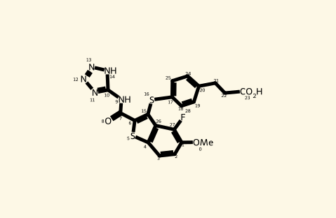 COc1ccc2sc(C(=O)Nc3nnn[nH]3)c(Sc3ccc(CCC(=O)O)cc3)c2c1F